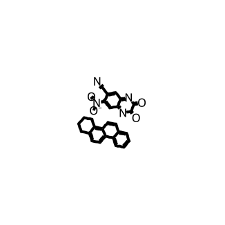 N#Cc1cc2c(cc1[N+](=O)[O-])=NC(=O)C(=O)N=2.c1ccc2c(c1)ccc1c3c(ccc12)CCCC3